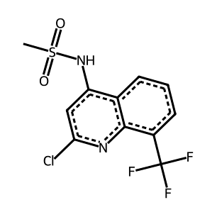 CS(=O)(=O)Nc1cc(Cl)nc2c(C(F)(F)F)cccc12